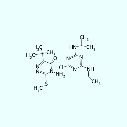 CCNc1nc(Cl)nc(NC(C)C)n1.CSc1nnc(C(C)(C)C)c(=O)n1N